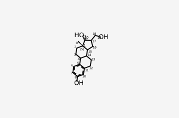 C[C@]12CCC3c4ccc(O)cc4CCC3C1CC(CO)[C@@H]2O